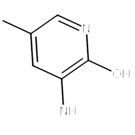 Cc1cnc(O)c(N)c1